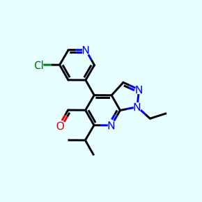 CCn1ncc2c(-c3cncc(Cl)c3)c(C=O)c(C(C)C)nc21